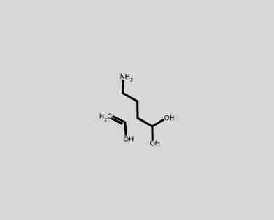 C=CO.NCCCC(O)O